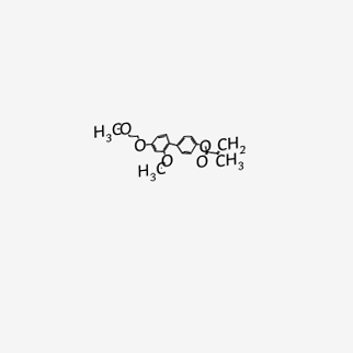 C=C(C)C(=O)Oc1ccc(-c2ccc(OCCOC)cc2OC)cc1